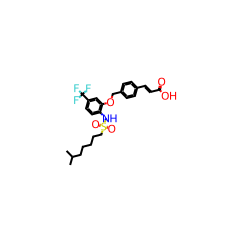 CC(C)CCCCCS(=O)(=O)Nc1ccc(C(F)(F)F)cc1OCc1ccc(C=CC(=O)O)cc1